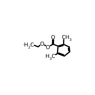 [CH2]COOC(=O)c1c(C)cccc1C